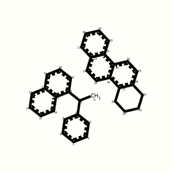 CC(c1ccccc1)c1cccc2ccccc12.c1ccc2c(c1)ccc1c3c(ccc12)CCCC3